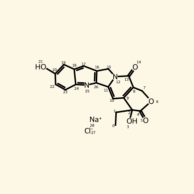 CCC1(O)C(=O)OCc2c1cc1n(c2=O)Cc2cc3cc(O)ccc3nc2-1.[Cl-].[Na+]